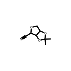 CC1(C)OC2COC(C#N)C2O1